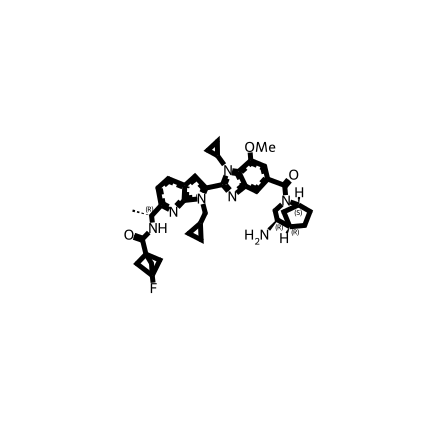 COc1cc(C(=O)N2C[C@H](N)[C@@H]3CC[C@H]2C3)cc2nc(-c3cc4ccc([C@@H](C)NC(=O)C56CC(F)(C5)C6)nc4n3CC3CC3)n(C3CC3)c12